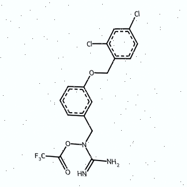 N=C(N)N(Cc1cccc(OCc2ccc(Cl)cc2Cl)c1)OC(=O)C(F)(F)F